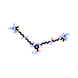 N=C1N[C@H]2[C@H](CS[C@H]2CCCCC(=O)NCCCCCC(=O)Nc2cc(NC(=O)CCCCCNC(=O)CCCC[C@@H]3SCC4NC(=N)N[C@@H]43)cc(C(N)=O)c2)N1